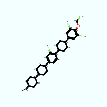 CCCC1CCC(C2CCC(c3ccc(C4CCC(c5cc(F)c(OCF)c(F)c5)CC4)c(F)c3)CC2)CC1